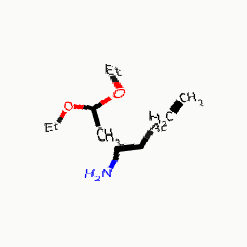 C=C.CC(=O)CCN.CCOC(C)OCC